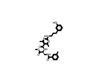 COC(=O)[C@H](CNC(=O)c1cccc(C)c1)NC(=O)c1c(C)nc([AsH]CCCc2cccc(O)c2)nc1C